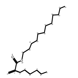 C=C(CCCCCC)C(=O)OCCCCCCCCCCCC